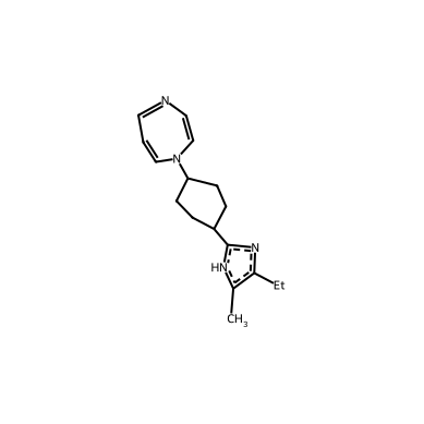 CCc1nc(C2CCC(N3C=CC=NC=C3)CC2)[nH]c1C